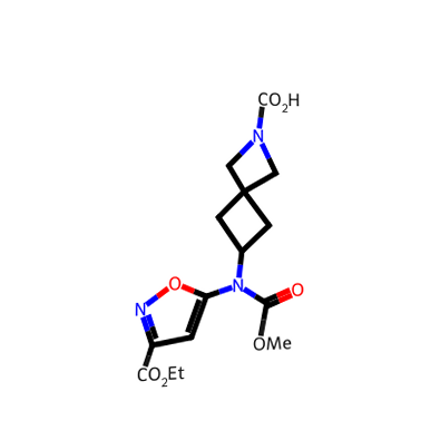 CCOC(=O)c1cc(N(C(=O)OC)C2CC3(C2)CN(C(=O)O)C3)on1